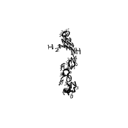 Cn1cnc(COc2cc(N3CCN(CCNc4nc(N)n5nc(-c6ccco6)nc5n4)CC3)c(F)cc2F)n1